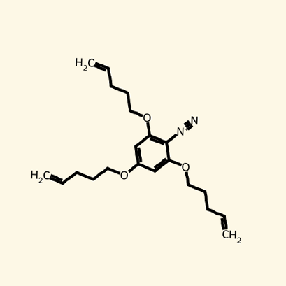 C=CCCCOc1cc(OCCCC=C)c([N+]#N)c(OCCCC=C)c1